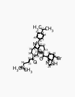 CC(C)c1ccc(-n2nc3c4c2CCN(C(=O)c2ccc(Br)c5[nH]cnc25)[C@@H]4CN(C(=O)/C=C/CN(C)C)CC3)cc1